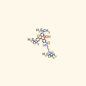 CN(C)c1ccc2c(-c3ccc(C(=O)NCCCCNC(C)(C)C)cc3C(=O)O)c3ccc(=[N+](C)C)cc-3oc2c1